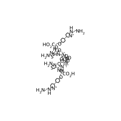 C[n+]1cc(-c2ccc(OC[C@H](O/N=C(\C(=O)N[C@@H]3C(=O)N(OS(=O)(=O)ON4C(=O)[C@@H](NC(=O)/C(=N\O[C@@H](COc5ccc(-c6ccc(NCCN)[n+](C)c6)cc5)C(=O)O)c5csc(N)n5)C4(C)C)C3(C)C)c3csc(N)n3)C(=O)O)cc2)ccc1NCCN